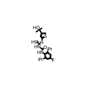 CC(C)c1cc(F)cc(C(C)C)c1NC(=O)NN(O)Sc1cc(C(C)(C)O)cs1